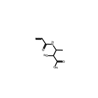 C=CC(=O)NC(C)C(O)C(=O)O